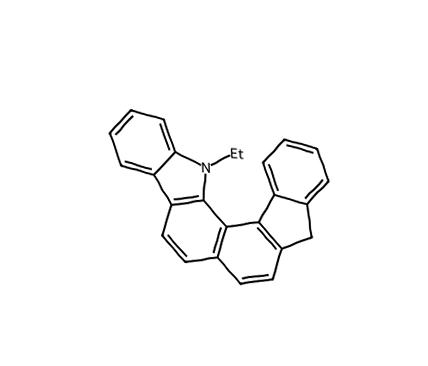 CCn1c2ccccc2c2ccc3ccc4c(c3c21)-c1ccccc1C4